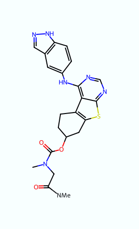 CNC(=O)CN(C)C(=O)OC1CCc2c(sc3ncnc(Nc4ccc5[nH]ncc5c4)c23)C1